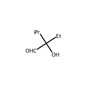 CCC(O)(C=O)C(C)C